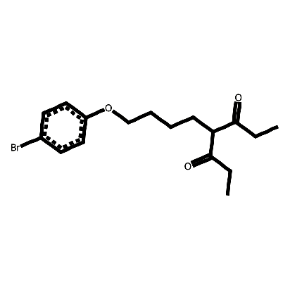 CCC(=O)C(CCCCOc1ccc(Br)cc1)C(=O)CC